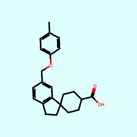 Cc1ccc(OCc2ccc3c(c2)C2(CC3)CCC(C(=O)O)CC2)cc1